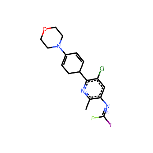 Cc1nc(C2C=CC(N3CCOCC3)=CC2)c(Cl)cc1/N=C(\F)I